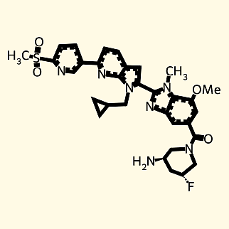 COc1cc(C(=O)N2C[C@H](N)C[C@@H](F)C2)cc2nc(-c3cc4ccc(-c5ccc(S(C)(=O)=O)nc5)nc4n3CC3CC3)n(C)c12